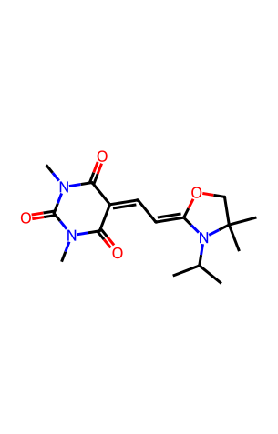 CC(C)N1/C(=C/C=C2C(=O)N(C)C(=O)N(C)C2=O)OCC1(C)C